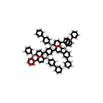 c1ccc(-c2ccc(N(c3ccc(-c4ccccc4)cc3)c3cc(-c4ccc5c(c4)c4cc(-c6ccccc6)ccc4n5-c4ccc(-c5ccccc5)cc4)c(N(c4ccc(-c5ccccc5)cc4)c4ccc(-c5ccccc5)cc4)cc3-c3ccc(N(c4ccccc4)c4ccccc4)cc3)cc2)cc1